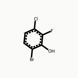 Oc1c(Br)c[c]c(Cl)c1F